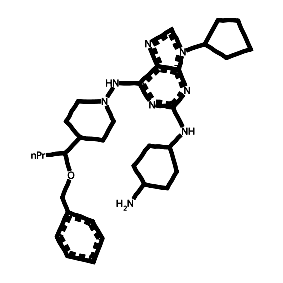 CCCC(OCc1ccccc1)C1CCN(Nc2nc(NC3CCC(N)CC3)nc3c2ncn3C2CCCC2)CC1